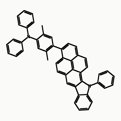 Cc1cc(N(c2ccccc2)c2ccccc2)c(C)cc1-c1ccc2ccc3c4c(ccc1c24)cc1c2ccccc2n(-c2ccccc2)c13